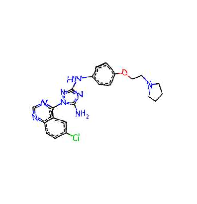 Nc1nc(Nc2ccc(OCCN3CCCC3)cc2)nn1-c1ncnc2ccc(Cl)cc12